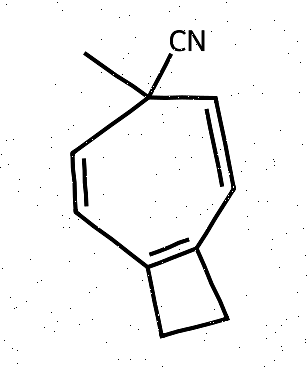 CC1(C#N)C=CC2=C(C=C1)CC2